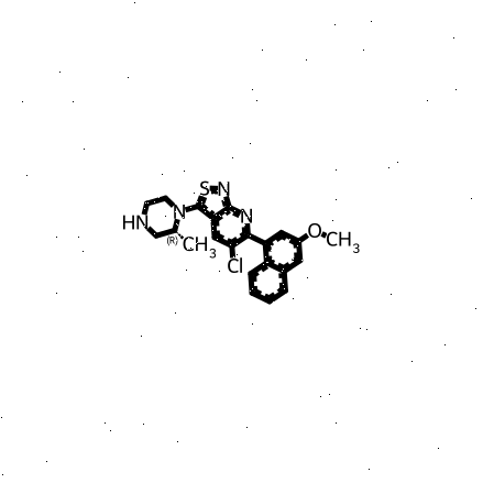 COc1cc(-c2nc3nsc(N4CCNC[C@H]4C)c3cc2Cl)c2ccccc2c1